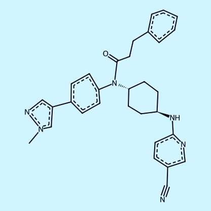 Cn1cc(-c2ccc(N(C(=O)CCc3ccccc3)[C@H]3CC[C@H](Nc4ccc(C#N)cn4)CC3)cc2)cn1